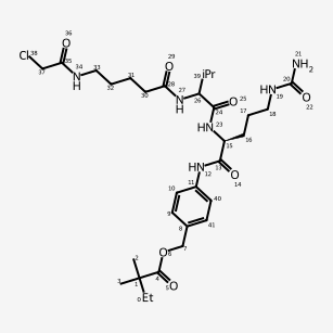 CCC(C)(C)C(=O)OCc1ccc(NC(=O)[C@H](CCCNC(N)=O)NC(=O)C(NC(=O)CCCCNC(=O)CCl)C(C)C)cc1